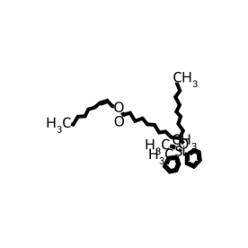 CCCCCC/C=C\COC(=O)CCCCCCCCC(CCCCCCCCC)O[Si](c1ccccc1)(c1ccccc1)C(C)(C)C